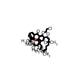 COC(=O)/C(C)=C\CC12OC(C)(C)C3CC(C=C4C(=O)c5c(OC(=O)CCl)c6c(c(CC=C(C)C)c5OC431)OC(C)(CCC=C(C)C)C=C6)C2=O